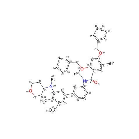 CCCN(C(=O)c1cc(C(C)C)c(OCc2ccccc2)cc1OCc1ccccc1)c1cccc(-c2cc(C(=O)O)c(C)c(N(CC)C3CCOCC3)c2)c1